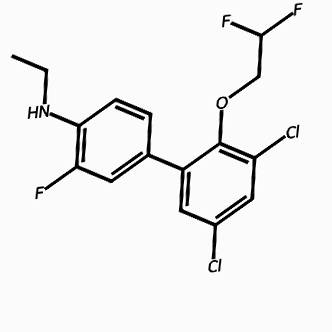 CCNc1ccc(-c2cc(Cl)cc(Cl)c2OCC(F)F)cc1F